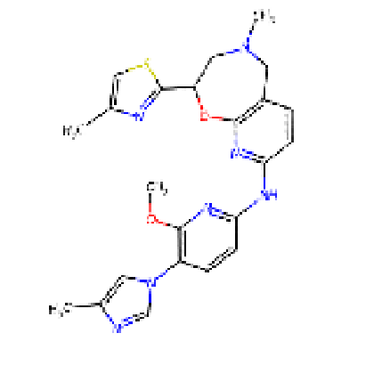 COc1nc(Nc2ccc3c(n2)OC(c2nc(C)cs2)CN(C)C3)ccc1-n1cnc(C)c1